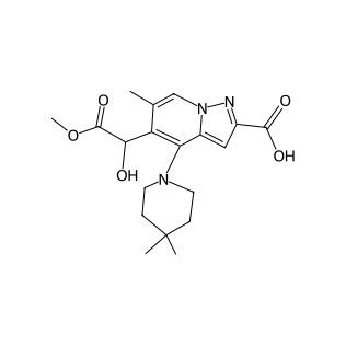 COC(=O)C(O)c1c(C)cn2nc(C(=O)O)cc2c1N1CCC(C)(C)CC1